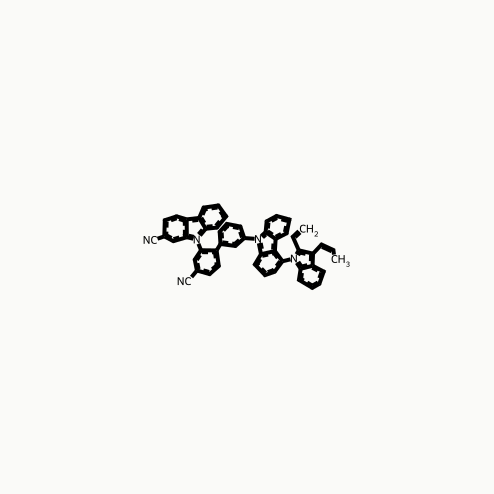 C=Cc1c(/C=C\C)c2ccccc2n1-c1cccc2c1c1ccccc1n2-c1cccc(-c2ccc(C#N)cc2-n2c3ccccc3c3ccc(C#N)cc32)c1